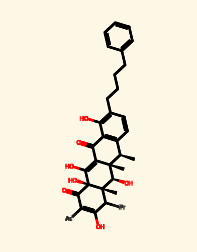 CC(=O)C1=C(O)C(C(C)C)[C@@]2(C)[C@H](O)[C@]3(C)C(=C(O)[C@@]2(O)C1=O)C(=O)c1c(ccc(CCCCc2ccccc2)c1O)[C@H]3C